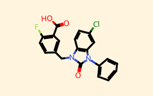 O=C(O)c1cc(Cn2c(=O)n(-c3ccccc3)c3cc(Cl)ccc32)ccc1F